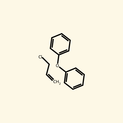 C=CCCl.c1ccc(Oc2ccccc2)cc1